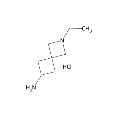 CCN1CC2(CC(N)C2)C1.Cl